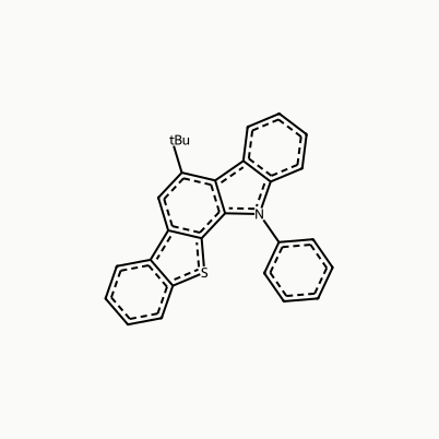 CC(C)(C)c1cc2c3ccccc3sc2c2c1c1ccccc1n2-c1ccccc1